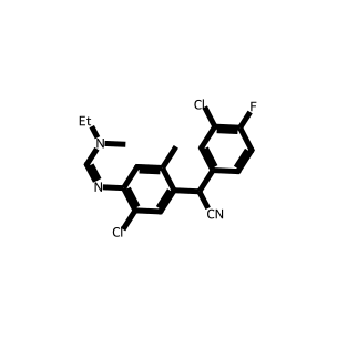 CCN(C)/C=N\c1cc(C)c(C(C#N)c2ccc(F)c(Cl)c2)cc1Cl